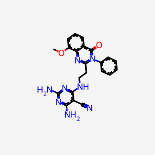 COc1cccc2c(=O)n(-c3ccccc3)c(CCNc3nc(N)nc(N)c3C#N)nc12